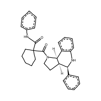 O=C(Nc1ccccc1)C1(C(=O)N2CC[C@@H]3[C@H](c4ccccc4)Nc4ccccc4[C@@H]32)CCCCC1